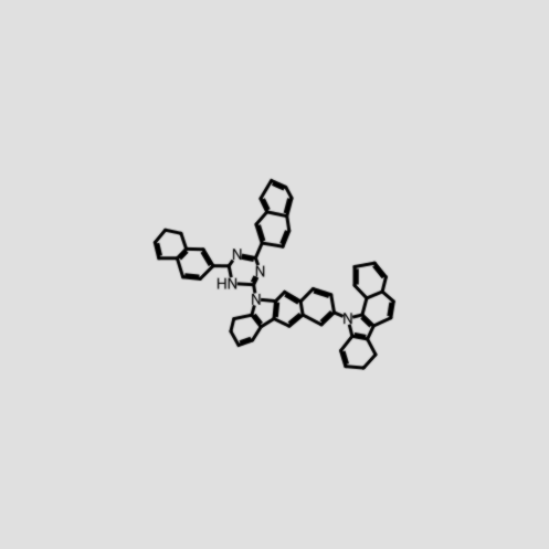 C1=CC2C=Cc3c4c(n(-c5ccc6cc7c(cc6c5)c5c(n7C6=NC(c7ccc8ccccc8c7)=NC(c7ccc8c(c7)CCC=C8)N6)CCC=C5)c3C2C=C1)C=CCC4